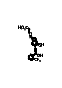 O=C(O)CCON=C1CC2C1CC(C#CC(O)c1ccccc1C(F)(F)F)C2O